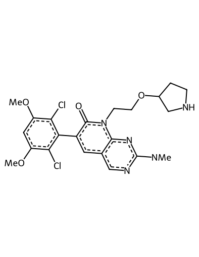 CNc1ncc2cc(-c3c(Cl)c(OC)cc(OC)c3Cl)c(=O)n(CCOC3CCNC3)c2n1